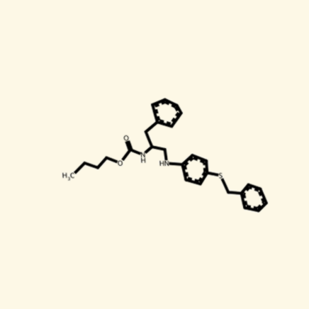 CCCCOC(=O)NC(CNc1ccc(SCc2ccccc2)cc1)Cc1ccccc1